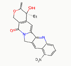 C=C1OCc2c(cc3n(c2=O)Cc2cc4c([N+](=O)[O-])cccc4nc2-3)[C@@]1(O)CC